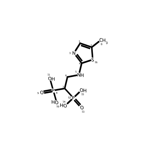 Cc1cnc(NCC(P(=O)(O)O)P(=O)(O)O)s1